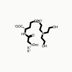 CCCCCCCCCCCC(=O)N[C@@H](CCC(=O)[O-])C(=O)[O-].OCCN(CCO)CCO.[K+].[K+]